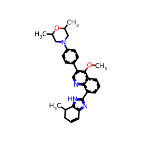 COc1c(-c2ccc(N3CC(C)OC(C)C3)cc2)cnc2c(-c3nc4c([nH]3)C(C)CC=C4)cccc12